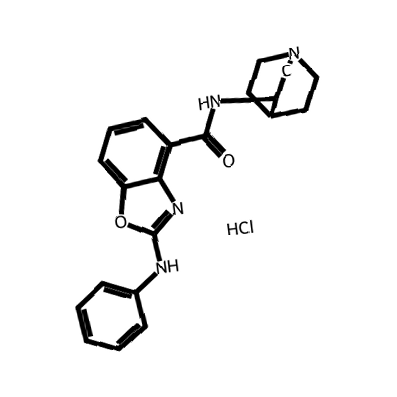 Cl.O=C(NC1CN2CCC1CC2)c1cccc2oc(Nc3ccccc3)nc12